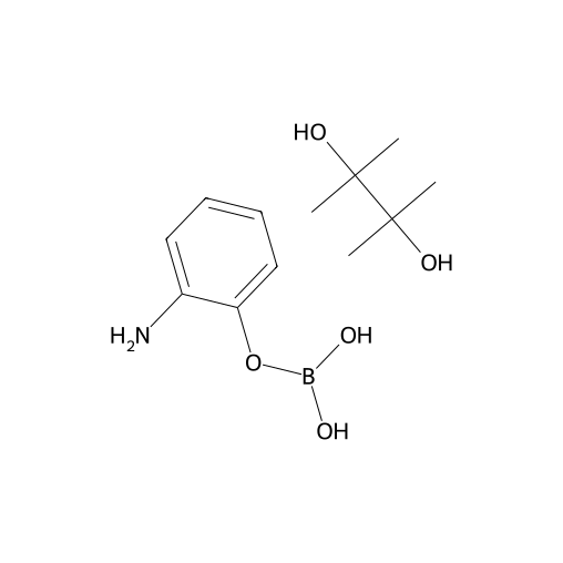 CC(C)(O)C(C)(C)O.Nc1ccccc1OB(O)O